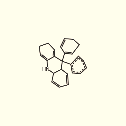 C1=CC2NC3=CCCC=C3C(C3=CCCC=C3)(c3ccccc3)C2C=C1